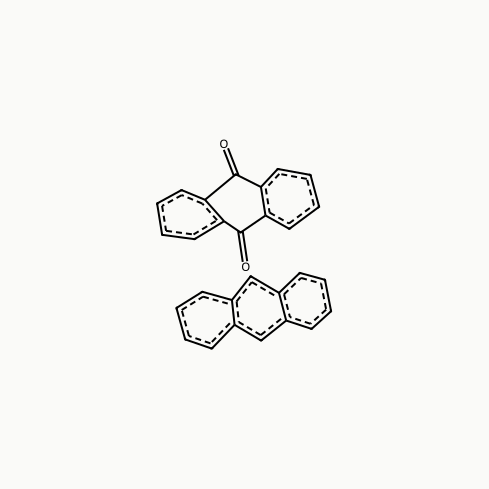 O=C1c2ccccc2C(=O)c2ccccc21.c1ccc2cc3ccccc3cc2c1